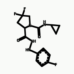 O=C(NNc1ccc(F)cc1)C1CC(F)(F)CN1C(=O)NC1CC1